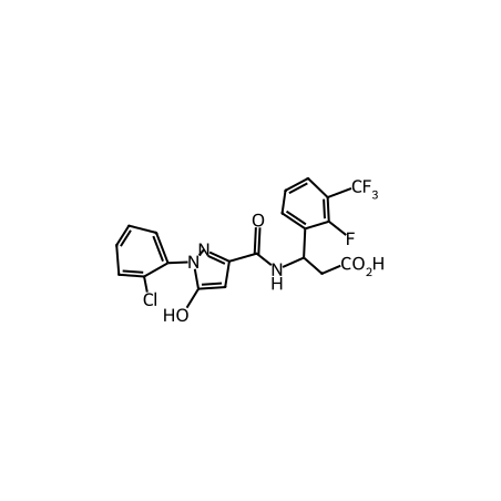 O=C(O)CC(NC(=O)c1cc(O)n(-c2ccccc2Cl)n1)c1cccc(C(F)(F)F)c1F